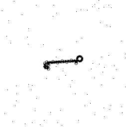 O=C(CCOCCOCCOCCOCCOCCC(=O)C1CCCCCCCC1)ON1C(=O)CCC1=O